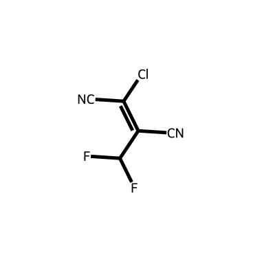 N#CC(Cl)=C(C#N)C(F)F